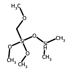 COC[Si](OC)(OC)O[SiH](C)C